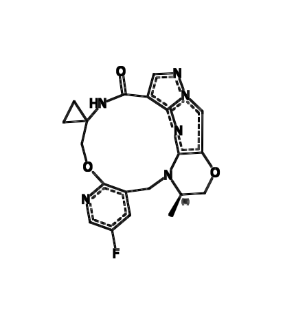 C[C@@H]1COc2cn3ncc4c3nc2N1Cc1cc(F)cnc1OCC1(CC1)NC4=O